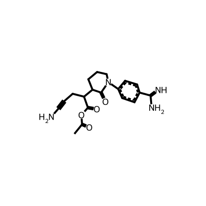 CC(=O)OC(=O)C(CC#CN)C1CCCN(c2ccc(C(=N)N)cc2)C1=O